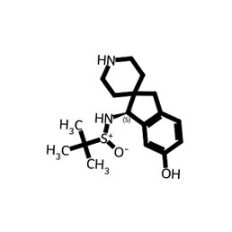 CC(C)(C)[S+]([O-])N[C@@H]1c2cc(O)ccc2CC12CCNCC2